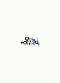 CC(=O)N[C@@H](Cc1cc(F)cc(F)c1)[C@H](N)CNC1(c2cccc(C(C)(C)C)c2)CCCCC1